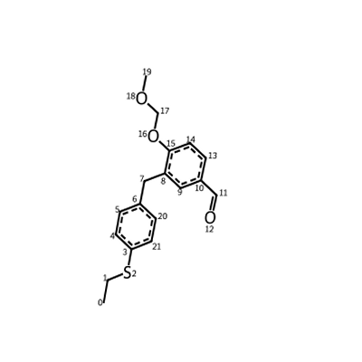 CCSc1ccc(Cc2cc(C=O)ccc2OCOC)cc1